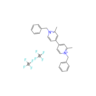 Cc1cc(-c2cc[n+](Cc3ccccc3)c(C)c2)cc[n+]1Cc1ccccc1.F[B-](F)(F)F.F[B-](F)(F)F